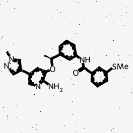 CSc1cccc(C(=O)Nc2cccc([C@H](C)Oc3cc(-c4cnn(C)c4)cnc3N)c2)c1